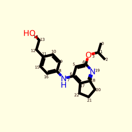 CC(C)Oc1cc(Nc2ccc(CCO)cc2)c2c(n1)CCC2